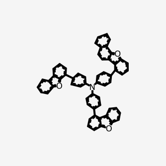 c1ccc2c(c1)ccc1c2oc2cccc(-c3ccc(N(c4ccc(-c5cccc6c5oc5ccccc56)cc4)c4ccc(-c5cccc6oc7ccccc7c56)cc4)cc3)c21